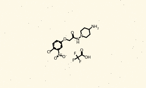 NC1CCN(NC(=O)COc2ccc(Cl)c([N+](=O)[O-])c2)CC1.O=C(O)C(F)(F)F